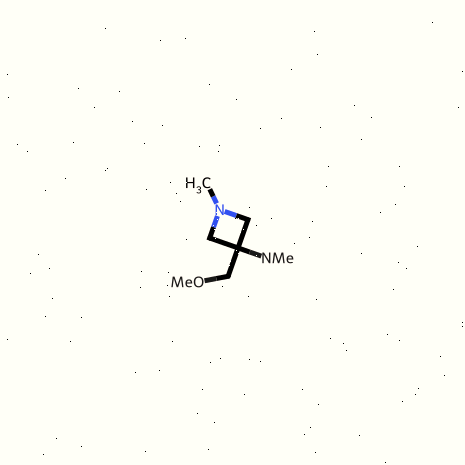 CNC1(COC)CN(C)C1